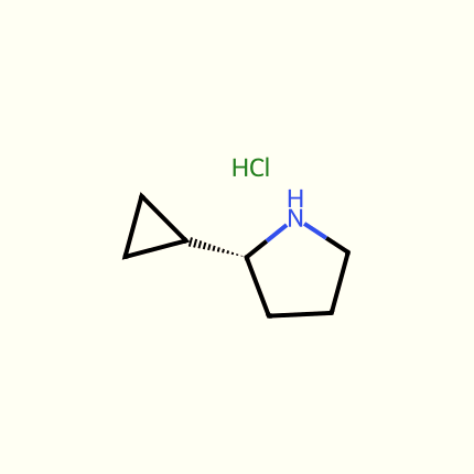 C1CN[C@@H](C2CC2)C1.Cl